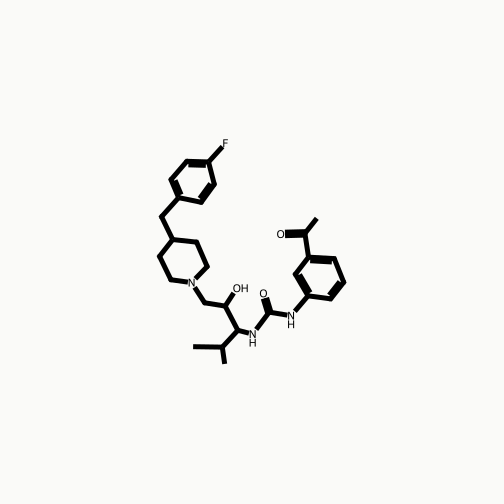 CC(=O)c1cccc(NC(=O)NC(C(C)C)C(O)CN2CCC(Cc3ccc(F)cc3)CC2)c1